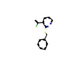 C=C(Cl)c1cccnc1SCc1ccccc1